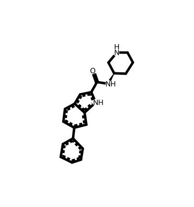 O=C(N[C@@H]1CCCNC1)c1cc2ccc(-c3ccccc3)cc2[nH]1